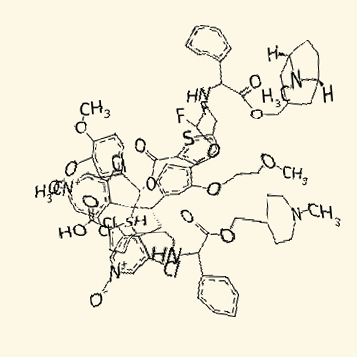 COCCOc1cc([C@H](Cc2c(Cl)c[n+]([O-])cc2Cl)C(c2c(Cl)c[n+]([O-])cc2Cl)([C@@H](OC(=O)c2ccc(CNC(C(=O)OCC3C[C@H]4CC[C@@H](C3)N4C)c3ccccc3)s2)c2ccc(OC)c(OC)c2)[SH]2C(CNC(C(=O)OCC3CCN(C)CC3)c3ccccc3)=CC=C2C(=O)O)ccc1OC(F)F